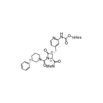 CCCCCCOC(=O)Nc1cc(C[C@H]2C(=O)N(C(=O)N3CCC[C@@H](c4ccccc4)C3)[C@@H]2C(=O)NC)ccn1